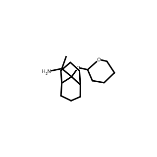 CC(N)C1(OC2CCCCO2)C2CCCC1CCC2